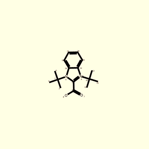 CC(C)(C)n1c(C(=O)[O-])[n+](C(C)(C)C)c2ccccc21